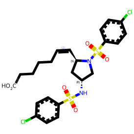 O=C(O)CCCC/C=C\[C@@H]1C[C@@H](NS(=O)(=O)c2ccc(Cl)cc2)CN1S(=O)(=O)c1ccc(Cl)cc1